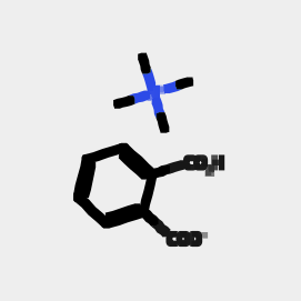 C[N+](C)(C)C.O=C([O-])c1ccccc1C(=O)O